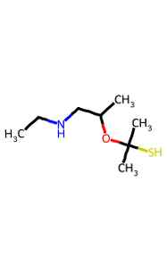 CCNCC(C)OC(C)(C)S